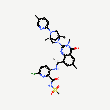 Cc1ccc(N2C[C@H]3C[C@@H]2CN3c2nc3c([C@@H](C)Nc4ccc(Cl)nc4C(=O)NS(C)(=O)=O)cc(C)cc3c(=O)n2C)nc1